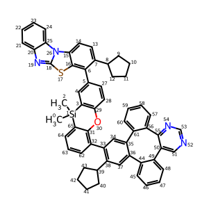 C[Si]1(C)c2cc(-c3c(C4CCCC4)ccc4c3sc3nc5ccccc5n34)ccc2Oc2c(-c3cc4c(cc3C3CCCC3)-c3ccccc3-c3cncnc3-c3ccccc3-4)cccc21